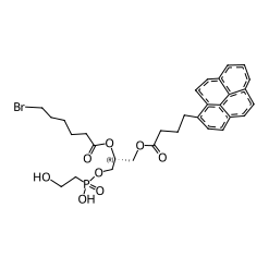 O=C(CCCc1ccc2ccc3cccc4ccc1c2c34)OC[C@H](COP(=O)(O)CCO)OC(=O)CCCCCBr